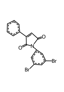 O=C1C=C(c2ccccc2)C(=O)N1c1cc(Br)cc(Br)c1